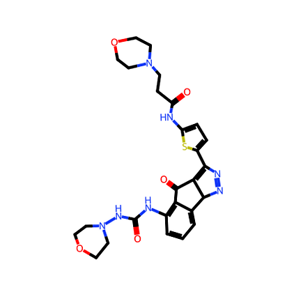 O=C(CCN1CCOCC1)Nc1ccc(C2=C3C(=O)c4c(NC(=O)NN5CCOCC5)cccc4C3N=N2)s1